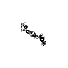 O=C(NCc1ccc(S(=O)(=O)N2CCC(Nc3cccc(C(F)(F)F)c3)CC2)s1)c1ccc([N+](=O)[O-])cc1